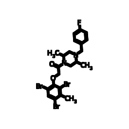 Cc1c(Br)cc(Br)c(OCC(=O)N2CC(C)N(Cc3ccc(F)cc3)CC2C)c1Br